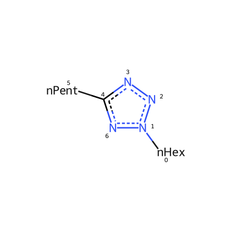 CCCCCCn1nnc(CCCCC)n1